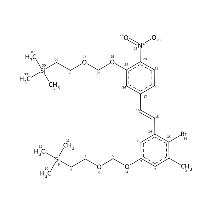 Cc1cc(OCOCC[Si](C)(C)C)cc(/C=C/c2ccc([N+](=O)[O-])c(OCOCC[Si](C)(C)C)c2)c1Br